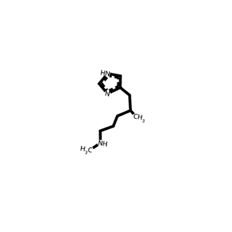 CNCCCC(C)Cc1c[nH]cn1